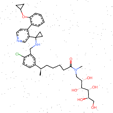 C[C@H](CCCCC(=O)N(C)C[C@H](O)[C@@H](O)[C@H](O)[C@H](O)CO)c1ccc(Cl)c(CNC2(c3cnccc3-c3ccccc3OC3CC3)CC2)c1